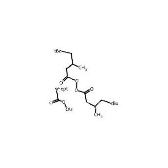 CC(CC(=O)OOC(=O)CC(C)CC(C)(C)C)CC(C)(C)C.CCCCCCCC(=O)OO